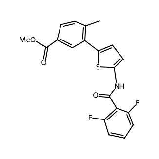 COC(=O)c1ccc(C)c(-c2ccc(NC(=O)c3c(F)cccc3F)s2)c1